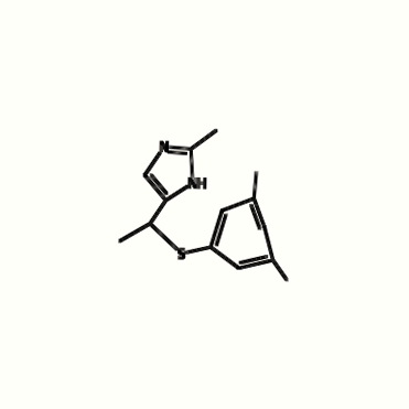 Cc1cc(C)cc(SC(C)c2cnc(C)[nH]2)c1